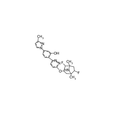 Cc1ccn(-c2ccc(-c3ccc(OC4CC5(C)NC(C)(CC5F)C4F)nn3)c(O)c2)n1